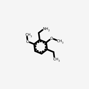 CCc1ccc(OC)c(CN)c1OC